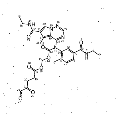 CCNC(=O)c1ccc(C)c(N(C(=O)OCOC(=O)CCC(=O)C=O)c2ncnn3cc(C(=O)NCC)c(C)c23)c1